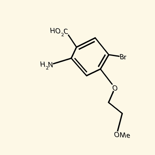 COCCOc1cc(N)c(C(=O)O)cc1Br